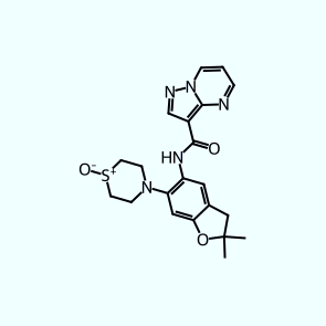 CC1(C)Cc2cc(NC(=O)c3cnn4cccnc34)c(N3CC[S+]([O-])CC3)cc2O1